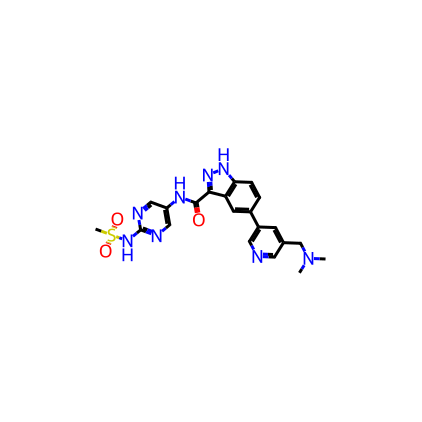 CN(C)Cc1cncc(-c2ccc3[nH]nc(C(=O)Nc4cnc(NS(C)(=O)=O)nc4)c3c2)c1